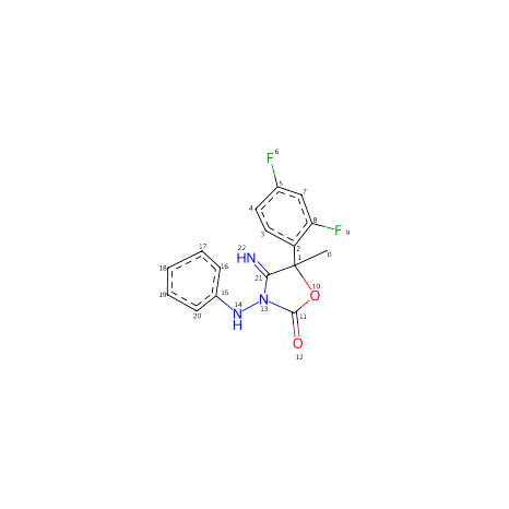 CC1(c2ccc(F)cc2F)OC(=O)N(Nc2ccccc2)C1=N